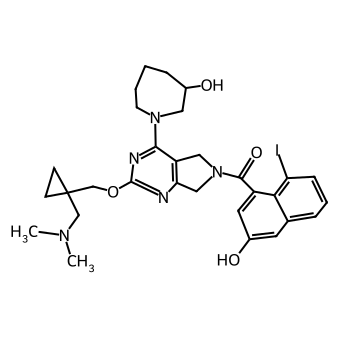 CN(C)CC1(COc2nc3c(c(N4CCCCC(O)C4)n2)CN(C(=O)c2cc(O)cc4cccc(I)c24)C3)CC1